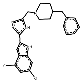 Clc1cc(Cl)c2cc(-c3nnc(CN4CCC(Cc5ccccc5)CC4)[nH]3)[nH]c2c1